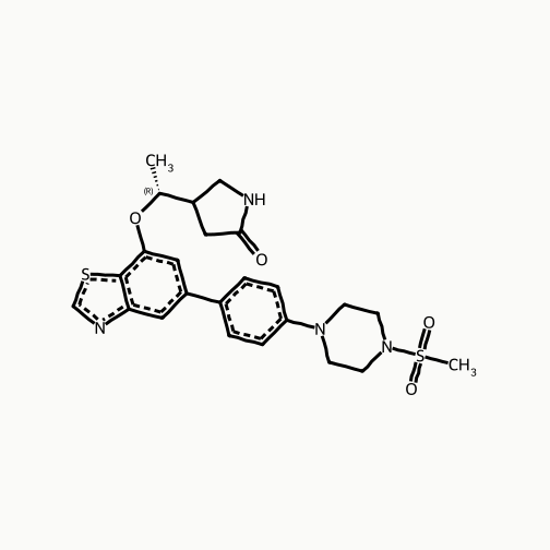 C[C@@H](Oc1cc(-c2ccc(N3CCN(S(C)(=O)=O)CC3)cc2)cc2ncsc12)C1CNC(=O)C1